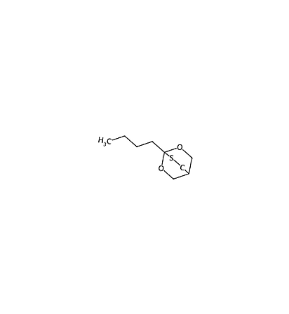 CCCCC12OCC(CO1)CS2